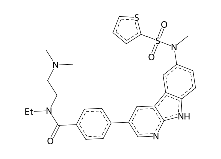 CCN(CCN(C)C)C(=O)c1ccc(-c2cnc3[nH]c4ccc(N(C)S(=O)(=O)c5cccs5)cc4c3c2)cc1